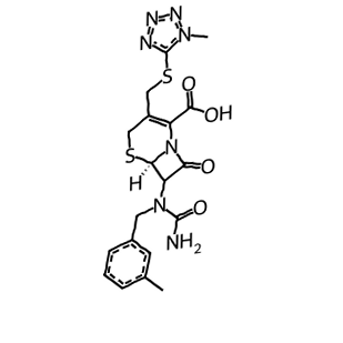 Cc1cccc(CN(C(N)=O)C2C(=O)N3C(C(=O)O)=C(CSc4nnnn4C)CS[C@H]23)c1